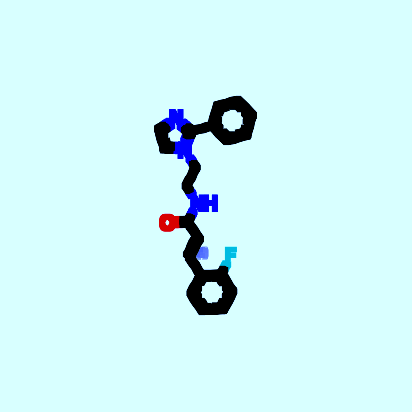 O=C(/C=C/c1ccccc1F)NCCn1ccnc1-c1ccccc1